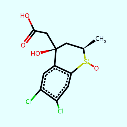 C[C@@H]1C[C@@](O)(CC(=O)O)c2cc(Cl)c(Cl)cc2[S+]1[O-]